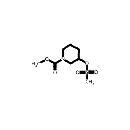 COC(=O)N1CCCC(OS(C)(=O)=O)C1